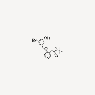 CC(C)(C)OC(=O)Cc1ccccc1OCc1cc(O)cc(Br)c1